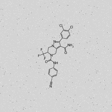 N#Cc1ccc(NC(=O)N2Cc3c(C(N)=O)c(-c4ccc(Cl)c(Cl)c4)nn3CC2C(F)(F)F)cc1